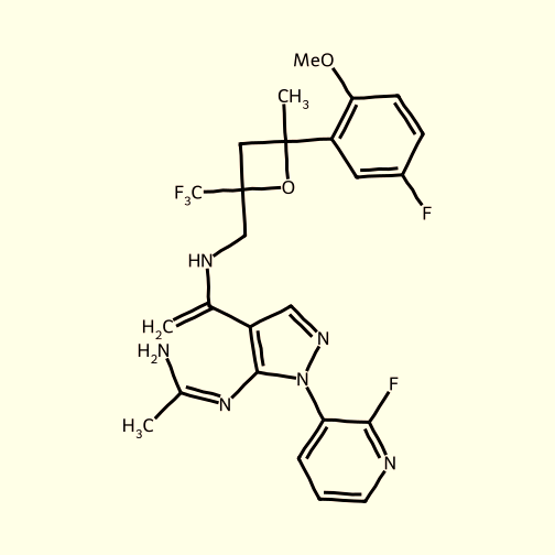 C=C(NCC1(C(F)(F)F)CC(C)(c2cc(F)ccc2OC)O1)c1cnn(-c2cccnc2F)c1/N=C(/C)N